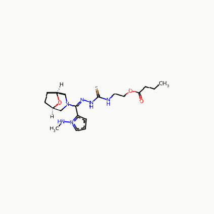 CCCC(=O)OCCNC(=S)N/N=C(\c1cccn1NC)N1C[C@H]2CC[C@@H](C1)O2